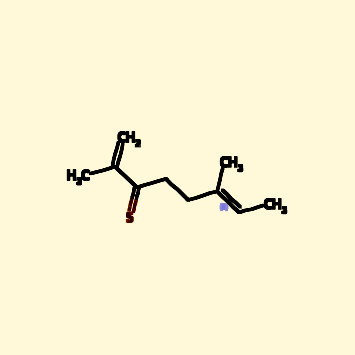 C=C(C)C(=S)CC/C(C)=C/C